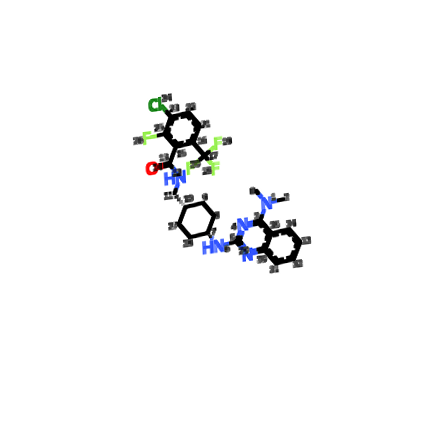 CN(C)c1nc(N[C@H]2CC[C@@H](CNC(=O)c3c(C(F)(F)F)ccc(Cl)c3F)CC2)nc2ccccc12